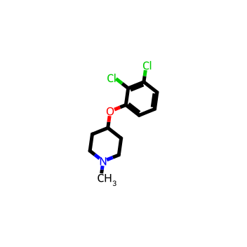 CN1CCC(Oc2cccc(Cl)c2Cl)CC1